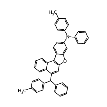 Cc1ccc(C(c2ccccc2)c2cc3oc4cc(N(c5ccccc5)c5ccc(C)cc5)ccc4c3c3ccccc23)cc1